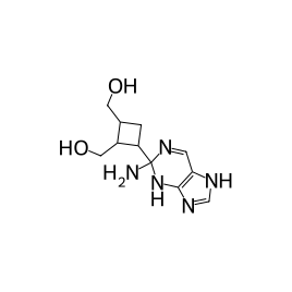 NC1(C2CC(CO)C2CO)N=Cc2[nH]cnc2N1